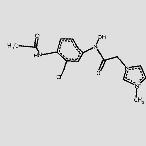 CC(=O)Nc1ccc(N(O)C(=O)Cn2cc[n+](C)c2)cc1Cl